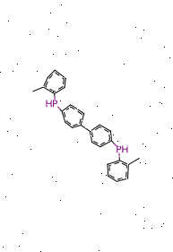 Cc1ccccc1Pc1ccc(-c2ccc(Pc3ccccc3C)cc2)cc1